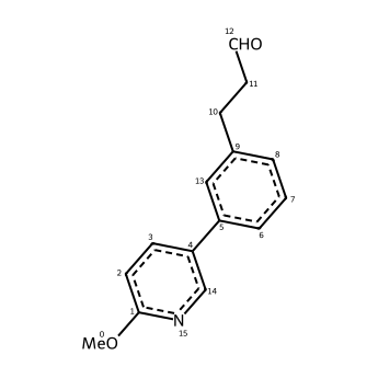 COc1ccc(-c2cccc(CCC=O)c2)cn1